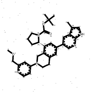 COCc1cc(N2CCc3cc(-c4cnc5[nH]cc(C)c5c4)cc([C@@H]4CCCN4C(=O)OC(C)(C)C)c3C2)ccn1